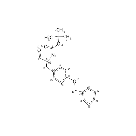 CC(C)(C)OC(=O)[N][C@H](C=O)Cc1ccc(OCc2ccccc2)cc1